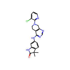 CC1(C)C(=O)Nc2cc(Nc3ncnc4c3CCN(c3ncccc3Cl)C4)ccc21